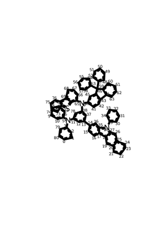 c1ccc(N(c2ccccc2)c2cc(-c3ccc4c5cc6ccccc6cc5n(-c5ccccc5)c4c3)cc(N(c3ccc4c(c3)C(c3ccccc3)(c3ccccc3)c3ccccc3-4)c3cccc4c3sc3ccccc34)c2)cc1